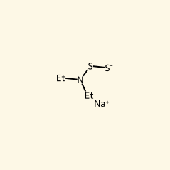 CCN(CC)S[S-].[Na+]